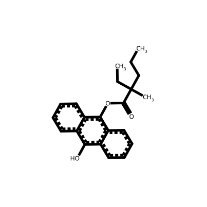 CCCC(C)(CC)C(=O)Oc1c2ccccc2c(O)c2ccccc12